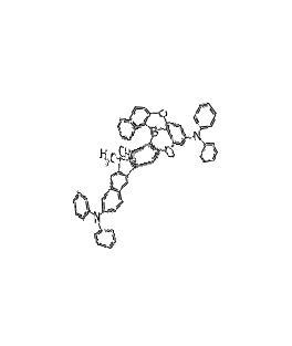 CC1(C)c2cc3c(cc2-c2cc4ccc(N(c5ccccc5)c5ccccc5)cc4cc21)Oc1cc(N(c2ccccc2)c2ccccc2)cc2c1B3c1c(ccc3ccccc13)O2